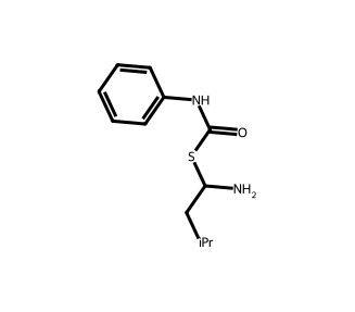 CC(C)CC(N)SC(=O)Nc1ccccc1